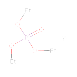 CCOP(=O)(OCC)OCC.[Y]